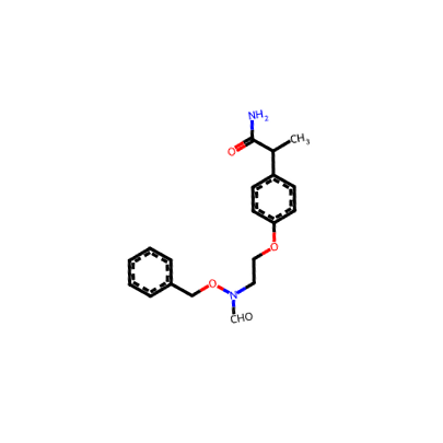 CC(C(N)=O)c1ccc(OCCN(C=O)OCc2ccccc2)cc1